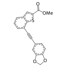 COC(=O)c1cc2cccc(C#Cc3ccc4c(c3)OCO4)c2s1